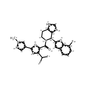 Cn1cc(-c2nc(C(F)F)c(C(=O)N3CCc4[nH]cnc4[C@H]3c3cc4cccc(F)c4o3)o2)cn1